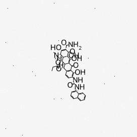 CCC(=O)O[C@H]1[C@H]2C(=C(O)[C@]3(O)C(=O)C(C(N)=O)=C(O)[C@@H](N(C)C)[C@H]13)C(=O)c1c(ccc(NC(=O)Nc3cccc4ccccc34)c1O)[C@@H]2C